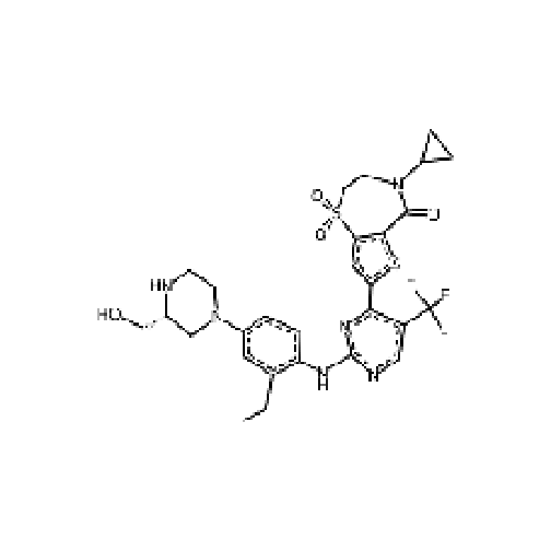 CCc1cc(N2CCN[C@@H](CO)C2)ccc1Nc1ncc(C(F)(F)F)c(-c2cc3c(s2)C(=O)N(C2CC2)CCS3(=O)=O)n1